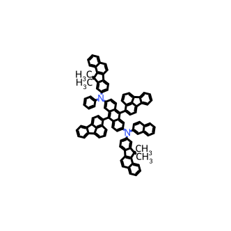 CC1(C)c2cc(N(c3ccccc3)c3ccc4c(-c5ccc6c7c(cccc57)-c5ccccc5-6)c5cc(N(c6ccc7c(c6)C(C)(C)c6c-7ccc7ccccc67)c6ccc7ccccc7c6)ccc5c(-c5ccc6c7c(cccc57)-c5ccccc5-6)c4c3)ccc2-c2ccc3ccccc3c21